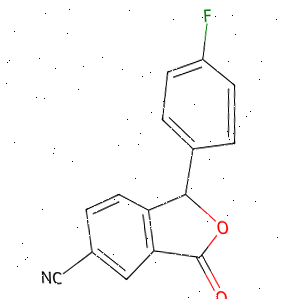 N#Cc1ccc2c(c1)C(=O)OC2c1ccc(F)cc1